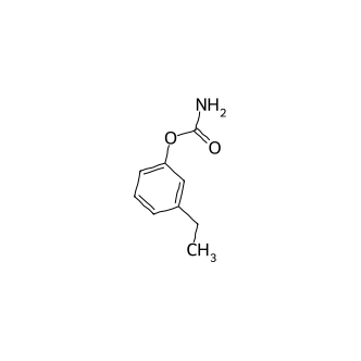 CCc1cccc(OC(N)=O)c1